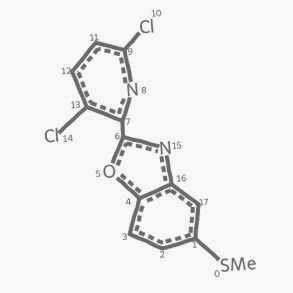 CSc1ccc2oc(-c3nc(Cl)ccc3Cl)nc2c1